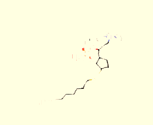 CCCCCCCCCCCCCCCCSC1CCC(C(C[N+](C)(C)C)OP(=O)([O-])O)C1